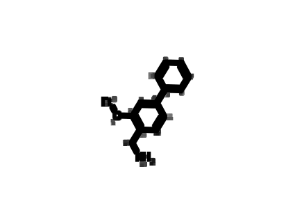 CCOc1cc(-c2ccccc2)ccc1CN